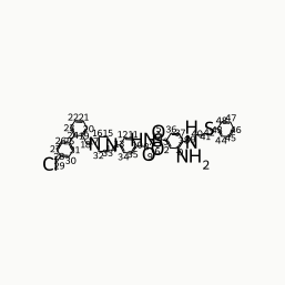 Nc1cc(S(=O)(=O)NC(=O)c2ccc(N3CCN(Cc4ccccc4-c4ccc(Cl)cc4)CC3)cc2)ccc1NCCSc1ccccc1